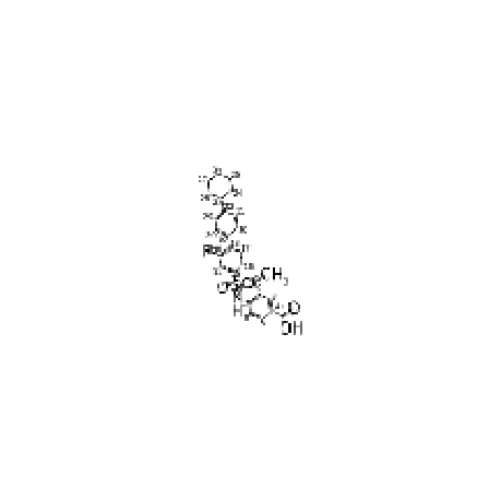 COc1cc(C(=O)O)ccc1NS(=O)(=O)c1ccc(-c2ccc(C3CCCCC3)cc2)c(F)c1